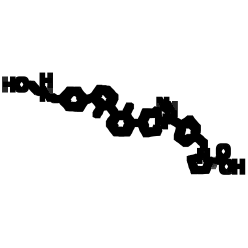 Cc1c(-c2ccc(CNCCO)cc2)cccc1-c1cccc(-c2ccn3c(-c4ccc(CN5CCC[C@@H]5C(=O)O)cc4)nnc3c2)c1C